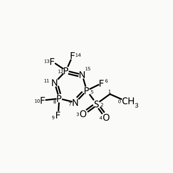 CCS(=O)(=O)P1(F)=NP(F)(F)=NP(F)(F)=N1